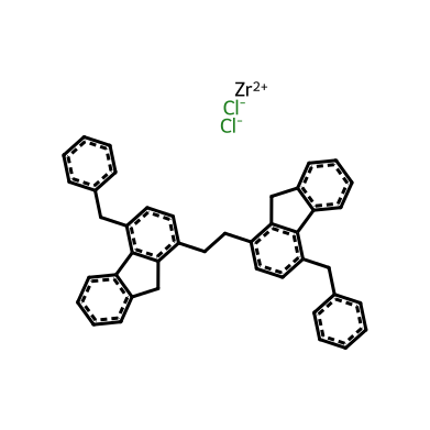 [Cl-].[Cl-].[Zr+2].c1ccc(Cc2ccc(CCc3ccc(Cc4ccccc4)c4c3Cc3ccccc3-4)c3c2-c2ccccc2C3)cc1